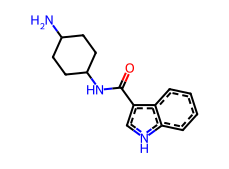 NC1CCC(NC(=O)c2c[nH]c3ccccc23)CC1